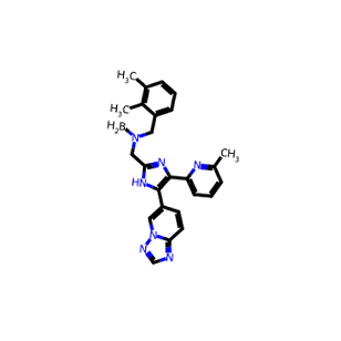 BN(Cc1nc(-c2cccc(C)n2)c(-c2ccc3ncnn3c2)[nH]1)Cc1cccc(C)c1C